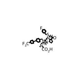 CN(CC(=O)O)Cc1nnc(Cn2c(SCc3ccc(F)cc3)nc(=O)c3c2CCC3)n1Cc1ccc(-c2ccc(C(F)(F)F)cc2)cc1